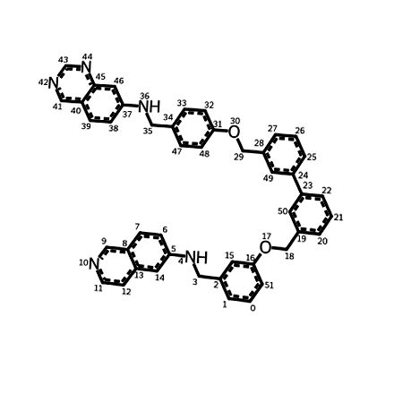 c1cc(CNc2ccc3cnccc3c2)cc(OCc2cccc(-c3cccc(COc4ccc(CNc5ccc6cncnc6c5)cc4)c3)c2)c1